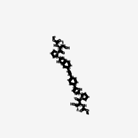 COC(=O)N[C@H](C(=O)N1CCC[C@H]1c1ncc(-c2ccc(C#Cc3ccc4nc([C@@H]5CCCN5C(=O)[C@@H](NC(=O)OC)[C@H](C)O)[nH]c4c3)cc2)[nH]1)[C@H](C)O